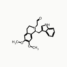 COc1cc2c(cc1OC)[C@H](Cc1c[nH]c3ccccc13)N(CC=O)CC2